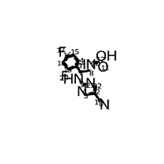 N#Cc1cnc(NC(CNC(=O)O)c2ccc(F)cc2F)nc1